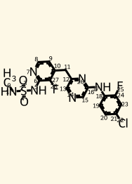 CNS(=O)(=O)Nc1nccc(Cc2cncc(Nc3ccc(Cl)cc3F)n2)c1F